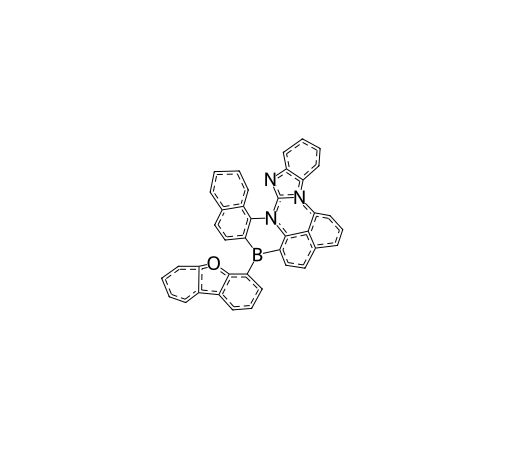 c1ccc2c3c(ccc2c1)B(c1cccc2c1oc1ccccc12)c1ccc2cccc4c2c1n-3c1nc2ccccc2n41